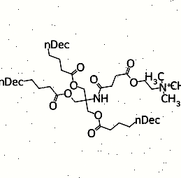 CCCCCCCCCCCCCC(=O)OCC(COC(=O)CCCCCCCCCCCCC)(COC(=O)CCCCCCCCCCCCC)NC(=O)CCC(=O)OCC[N+](C)(C)C